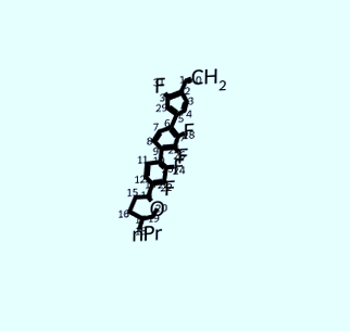 C=Cc1ccc(-c2ccc(-c3ccc(C4CCC(CCC)CO4)c(F)c3F)c(F)c2F)cc1F